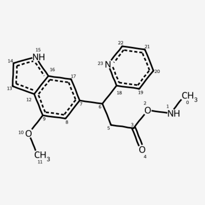 CNOC(=O)CC(c1cc(OC)c2cc[nH]c2c1)c1ccccn1